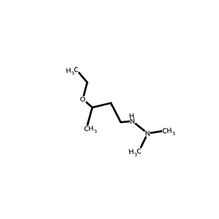 CCOC(C)CCNN(C)C